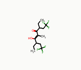 CCC(CC(F)(F)F)C(=O)/C(C)=C(\O)C(CC)CC(F)(F)F